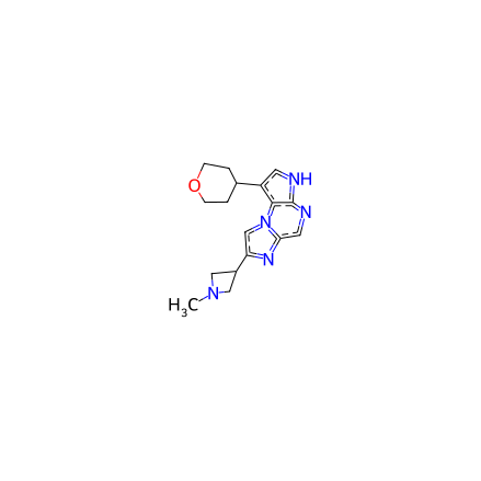 CN1CC(c2cn3c(cnc4[nH]cc(C5CCOCC5)c43)n2)C1